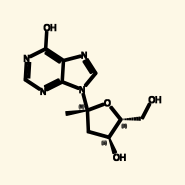 C[C@]1(n2cnc3c(O)ncnc32)C[C@H](O)[C@@H](CO)O1